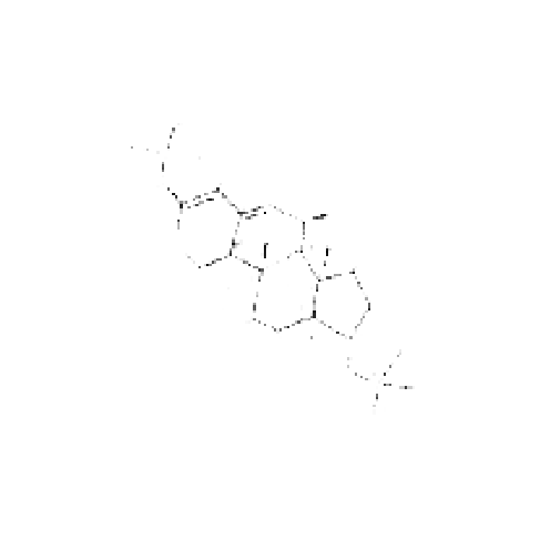 CC[C@@H]1C=C2C=C(O[Si](C)(C)C)CC[C@@H]2[C@H]2CC[C@]3(C)[C@@H](O[Si](C)(C)C(C)(C)C)CC[C@H]3[C@@H]21